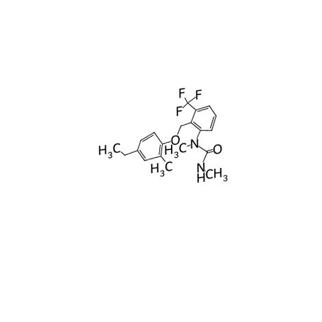 CCc1ccc(OCc2c(N(C)C(=O)NC)cccc2C(F)(F)F)c(C)c1